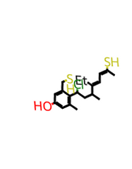 CC/C(=C\C=C(/C)S)C(C)CC(Cl)c1c(C)cc(O)cc1CS